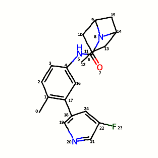 Cc1ccc(NC(=O)N2C3CC(C)CC2C3)cc1-c1cncc(F)c1